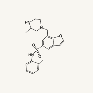 Cc1ccccc1NS(=O)(=O)c1cc(CN2CCNC(C)C2)c2occc2c1